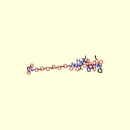 C=CCOC(=O)[C@H](Cc1ccccc1)NC(=O)[C@H](C)[C@@H](OC)C1CCCN1C(=O)C[C@@H](OC)[C@H]([C@@H](C)CC)N(C)C(=O)[C@@H](NC(=O)C(C)(C)N(C)C(=O)CCOCCOCCOCCOCCOCCOCCN1C(=O)C=CC1=O)C(C)C